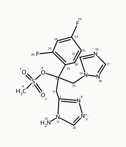 CS(=O)(=O)OC(CC1=N[N+]=CN1N)(Cn1cncn1)c1ccc(F)cc1F